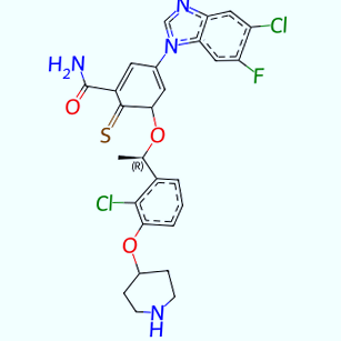 C[C@@H](OC1C=C(n2cnc3cc(Cl)c(F)cc32)C=C(C(N)=O)C1=S)c1cccc(OC2CCNCC2)c1Cl